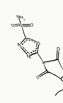 CCC1CC(=O)N(c2nnc(S(N)(=O)=O)s2)C1=O